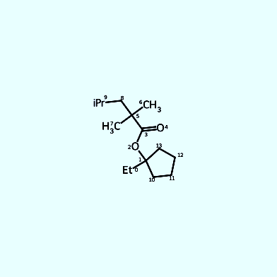 CCC1(OC(=O)C(C)(C)CC(C)C)CCCC1